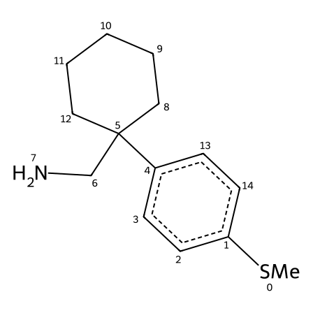 CSc1ccc(C2(CN)CCCCC2)cc1